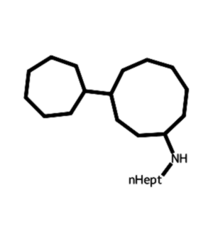 CCCCCCCNC1CCCCCC(C2CCCCCC2)CC1